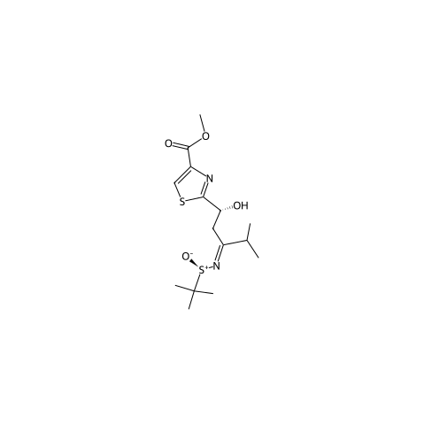 COC(=O)c1csc([C@H](O)C/C(=N\[S@+]([O-])C(C)(C)C)C(C)C)n1